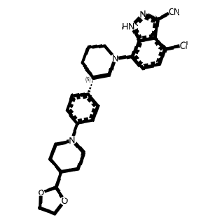 N#Cc1n[nH]c2c(N3CCC[C@@H](c4ccc(N5CCC(C6OCCO6)CC5)cc4)C3)ccc(Cl)c12